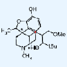 COCC(CC1[C@H]2Cc3ccc(O)c4c3[C@@]1(CCN2C)C(C)O4)C(O)C(C)(C)C